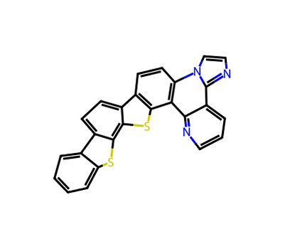 c1ccc2c(c1)sc1c2ccc2c3ccc4c(c5ncccc5c5nccn45)c3sc21